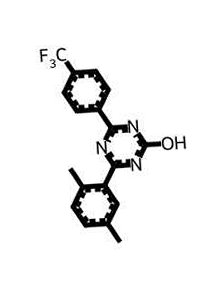 Cc1ccc(C)c(-c2nc(O)nc(-c3ccc(C(F)(F)F)cc3)n2)c1